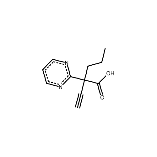 C#CC(CCC)(C(=O)O)c1ncccn1